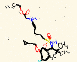 CCOC(=O)CNCCCCCS(=O)(=O)NC(c1ccc(F)c(OCC2CC2)c1)C(C)(C)C